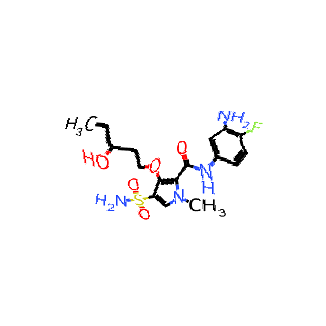 CCC(O)CCOc1c(S(N)(=O)=O)cn(C)c1C(=O)Nc1ccc(F)c(N)c1